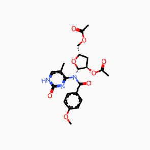 COc1ccc(C(=O)N(c2nc(=O)[nH]cc2C)[C@@H]2O[C@H](COC(C)=O)C[C@H]2OC(C)=O)cc1